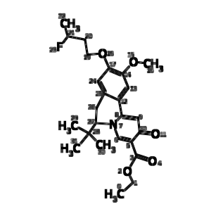 CCOC(=O)c1cn2c(cc1=O)-c1cc(OC)c(OCCC(C)F)cc1CC2C(C)(C)C